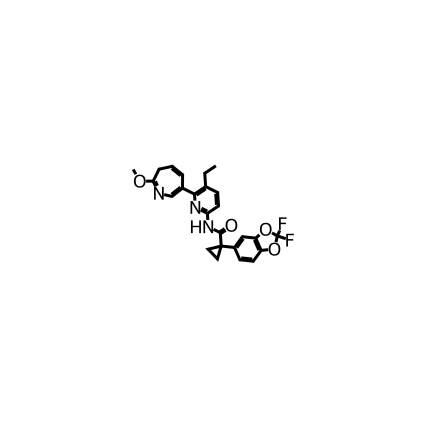 CCc1ccc(NC(=O)C2(c3ccc4c(c3)OC(F)(F)O4)CC2)nc1C1=CN=C(OC)CC=C1